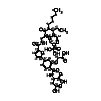 CCCCCC(C(=O)NCNC(=O)c1ccc(-c2ccc(C(=O)NC(CC(=O)O)C(=O)O)c(OCC(=O)O)c2)o1)[C@@H](CC)N(C=O)OCOP(=O)(O)O